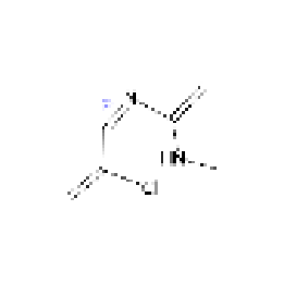 C=C(Cl)/C=N\C(=C)NC